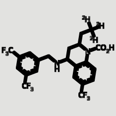 [2H]C([2H])([2H])CC1CC(NCc2cc(C(F)(F)F)cc(C(F)(F)F)c2)c2cc(C(F)(F)F)ccc2N1C(=O)O